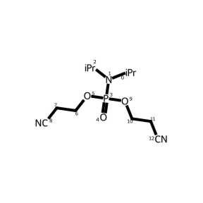 CC(C)N(C(C)C)P(=O)(OCCC#N)OCCC#N